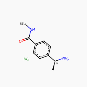 C[C@H](N)c1ccc(C(=O)NC(C)(C)C)cc1.Cl